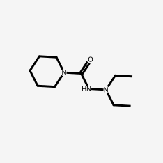 CCN(CC)NC(=O)N1CCCCC1